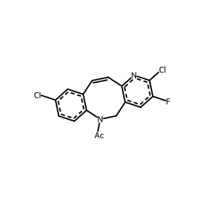 CC(=O)N1Cc2cc(F)c(Cl)nc2/C=C\c2cc(Cl)ccc21